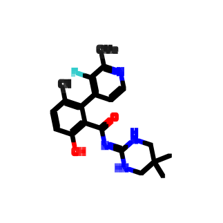 COc1nccc(-c2c(C#N)ccc(O)c2C(=O)N=C2NCC(C)(C)CN2)c1F